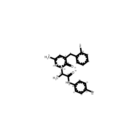 Cc1cc(Cc2ccccc2F)c(=O)n(C(C)C(=O)Nc2ccc(Br)cc2)n1